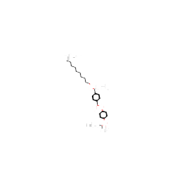 CCCCCCCCCCCCCCCCCCCCOC(C)c1ccc(C(=O)Oc2ccc(OC(CCC)CCCC)cc2)cc1